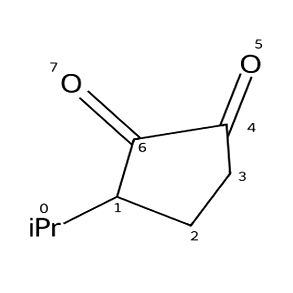 CC(C)C1CCC(=O)C1=O